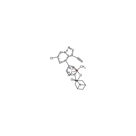 CC(C)(C)OC(=O)N1C2CC1CN(c1ccc(-c3cc(Cl)cn4ncc(C#N)c34)cn1)C2